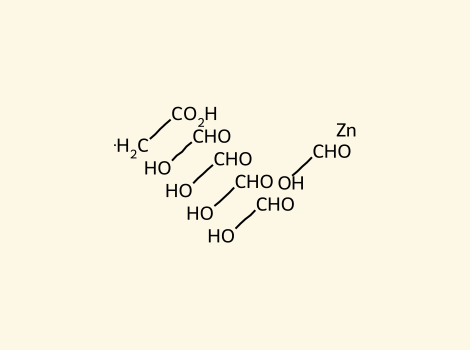 O=CO.O=CO.O=CO.O=CO.O=CO.[CH2]C(=O)O.[Zn]